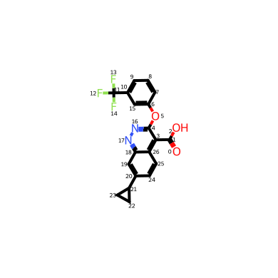 O=C(O)c1c(Oc2cccc(C(F)(F)F)c2)nnc2cc(C3CC3)ccc12